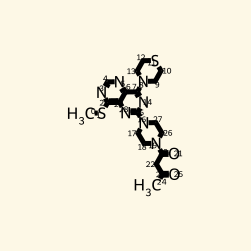 CSc1ncnc2c(N3CCSCC3)nc(N3CCN(C(=O)CC(C)=O)CC3)nc12